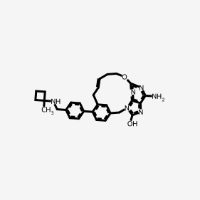 CC1(NCc2ccc(-c3ccc4cc3C/C=C/CCOc3nc(N)c5nc(O)n(c5n3)C4)cc2)CCC1